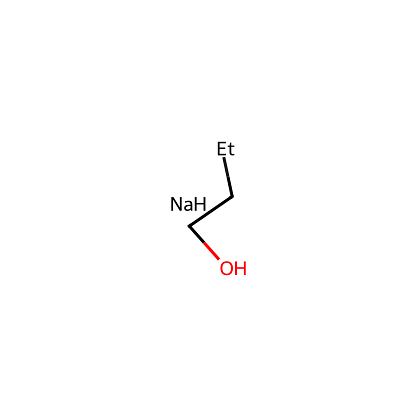 CCCCO.[NaH]